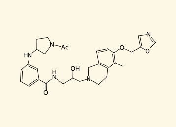 CC(=O)N1CCC(Nc2cccc(C(=O)NCC(O)CN3CCc4c(ccc(OCc5cnco5)c4C)C3)c2)C1